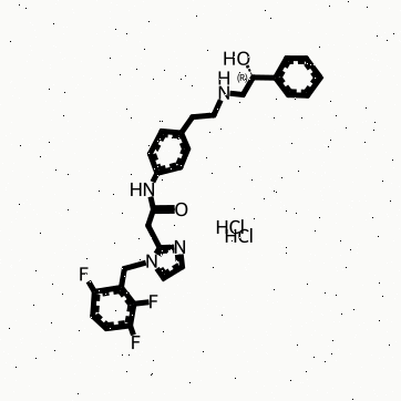 Cl.Cl.O=C(Cc1nccn1Cc1c(F)ccc(F)c1F)Nc1ccc(CCNC[C@H](O)c2ccccc2)cc1